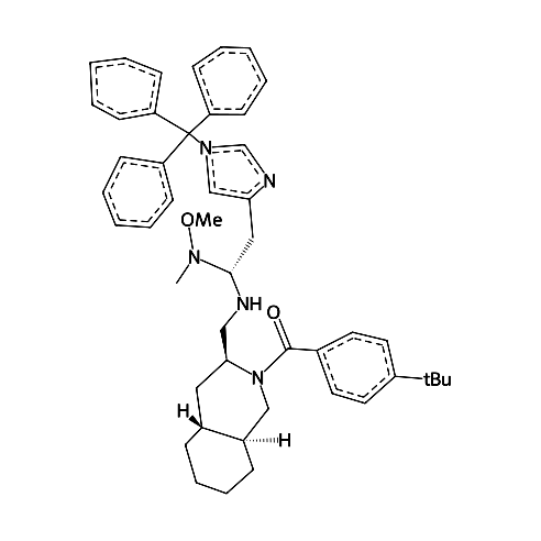 CON(C)[C@H](Cc1cn(C(c2ccccc2)(c2ccccc2)c2ccccc2)cn1)NC[C@@H]1C[C@H]2CCCC[C@@H]2CN1C(=O)c1ccc(C(C)(C)C)cc1